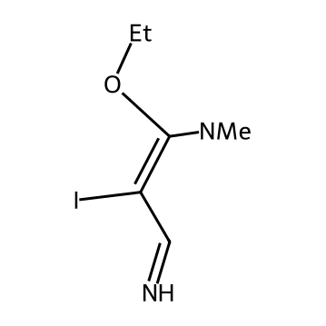 CCO/C(NC)=C(\I)C=N